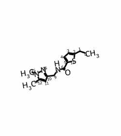 CCc1ccc(C(=O)NCc2cc(C)n(C)n2)s1